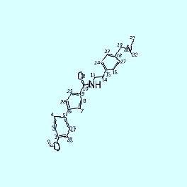 COc1ccc(-c2ccc(C(=O)NCCc3ccc(CN(C)C)cc3)cc2)cc1